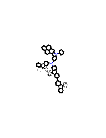 CC1(C)c2ccccc2-c2ccc(-c3ccc4c(c3)C(C)(C)c3cc(N(c5ccc6c(c5)C(C)(C)c5ccccc5-6)c5ccc6c(c5)c5c7ccc8cccc9ccc(cc5n6-c5ccccc5)c7c98)ccc3-4)cc21